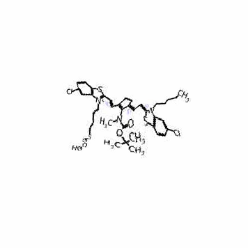 CCCCCN1/C(=C/C=C2\CCC(/C=C/c3sc4ccc(Cl)cc4[n+]3CCCCSOOO)=C2N(C)C(=O)OC(C)(C)C)Sc2ccc(Cl)cc21